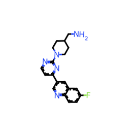 NCC1CCN(c2nccc(-c3cnc4ccc(F)cc4c3)n2)CC1